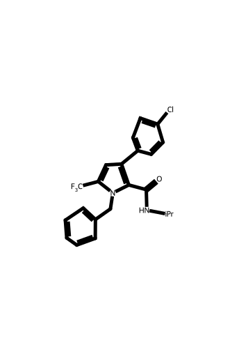 CC(C)NC(=O)c1c(-c2ccc(Cl)cc2)cc(C(F)(F)F)n1Cc1ccccc1